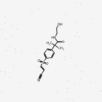 CC(C)(C(=O)NCCO)c1ccc(S(=O)(=O)/C=C/C#N)cc1